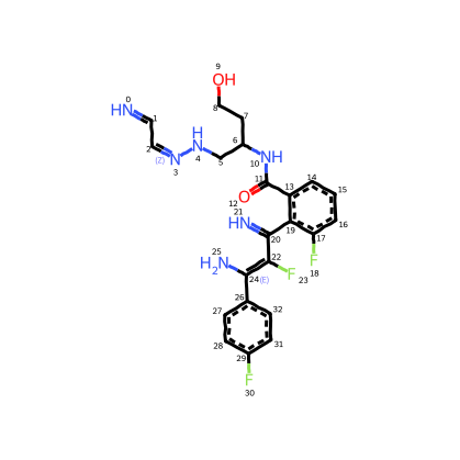 N=C/C=N\NCC(CCO)NC(=O)c1cccc(F)c1C(=N)/C(F)=C(\N)c1ccc(F)cc1